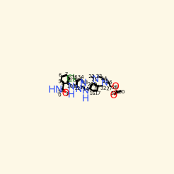 CNC(=O)c1ccccc1Nc1nc(Nc2ccc3c(c2)N(C)CCN(CCOC(C)=O)C3)ncc1Cl